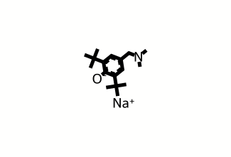 CN(C)Cc1cc(C(C)(C)C)c([O-])c(C(C)(C)C)c1.[Na+]